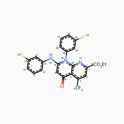 CCOC(=O)c1cc(C(F)(F)F)c2c(=O)cc(Nc3cccc(F)c3)n(-c3cccc(F)c3)c2n1